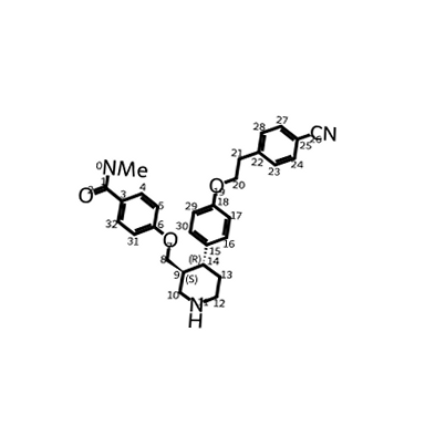 CNC(=O)c1ccc(OC[C@@H]2CNCC[C@H]2c2ccc(OCCc3ccc(C#N)cc3)cc2)cc1